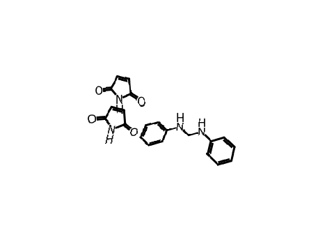 O=C1C=CC(=O)N1.O=C1C=CC(=O)N1.c1ccc(NCNc2ccccc2)cc1